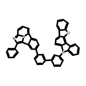 c1ccc(-c2nc3cccc4c5ccc(-c6cccc(-c7cccc(-n8c9ccccc9c9c%10oc%11ccccc%11c%10ccc98)c7)c6)cc5c2n34)cc1